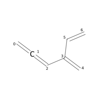 C=C=CC(=C)C=C